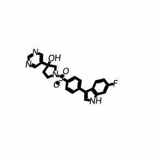 O=S(=O)(c1ccc(-c2c[nH]c3cc(F)ccc23)cc1)N1CCC(O)(c2cncnc2)C1